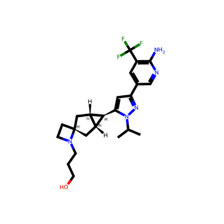 CC(C)n1nc(-c2cnc(N)c(C(F)(F)F)c2)cc1[C@H]1[C@@H]2C[C@@]3(CCN3CCCO)C[C@@H]21